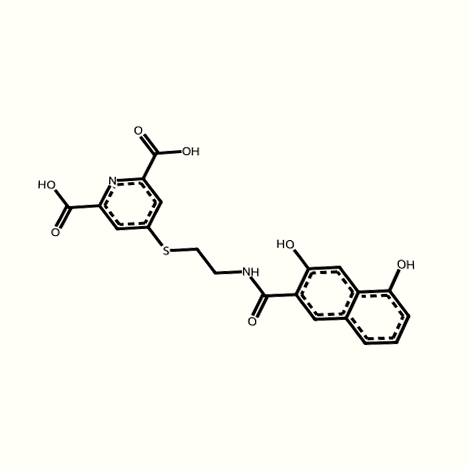 O=C(O)c1cc(SCCNC(=O)c2cc3cccc(O)c3cc2O)cc(C(=O)O)n1